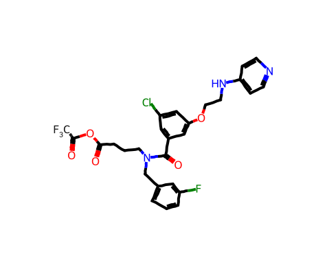 O=C(CCCN(Cc1cccc(F)c1)C(=O)c1cc(Cl)cc(OCCNc2ccncc2)c1)OC(=O)C(F)(F)F